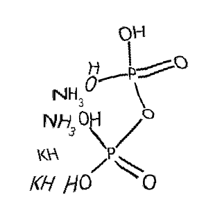 N.N.O=P(O)(O)OP(=O)(O)O.[KH].[KH]